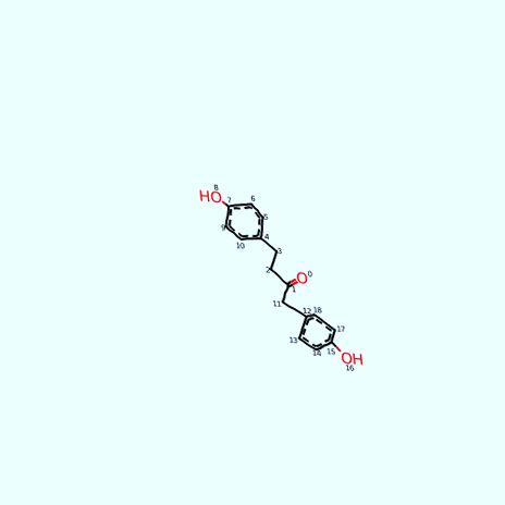 O=C(CCc1ccc(O)cc1)Cc1ccc(O)cc1